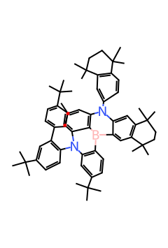 Cc1cc2c3c(c1)N(c1ccc(C(C)(C)C)cc1-c1ccc(C(C)(C)C)cc1)c1cc(C(C)(C)C)ccc1B3c1cc3c(cc1N2c1ccc2c(c1)C(C)(C)CCC2(C)C)C(C)(C)CCC3(C)C